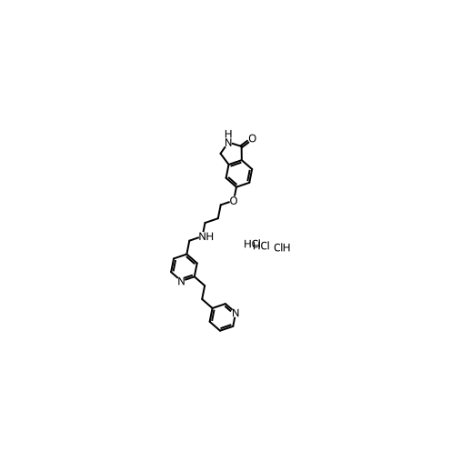 Cl.Cl.Cl.O=C1NCc2cc(OCCCNCc3ccnc(CCc4cccnc4)c3)ccc21